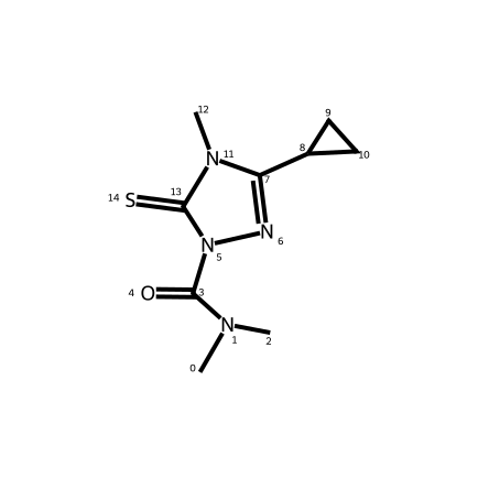 CN(C)C(=O)n1nc(C2CC2)n(C)c1=S